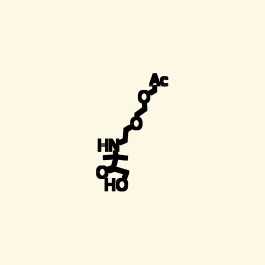 CC(=O)COCCOCCNC(C)(C)C(=O)CO